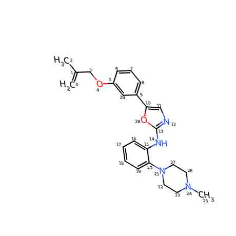 C=C(C)COc1cccc(-c2cnc(Nc3ccccc3N3CCN(C)CC3)o2)c1